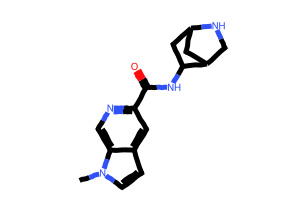 Cn1ccc2cc(C(=O)NC3CC4CC3CN4)ncc21